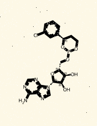 Nc1ncnc2c1ncn2[C@@H]1O[C@H](COP2OCC[C@H](c3cccc(Cl)c3)O2)[C@@H](O)[C@H]1O